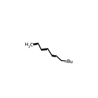 [CH2]CCCCC=CC=CC=C